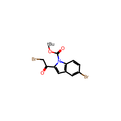 CC(C)(C)OC(=O)n1c(C(=O)CBr)cc2cc(Br)ccc21